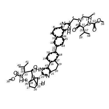 CCCN(Cc1nc2ccc3cc(-c4ccc5c(c4)CCc4nc([C@@H]6[C@H]7CC[C@H](C7)N6C(=O)[C@@H](NC(=O)OC)C(C)C)[nH]c4-5)ccc3c2[nH]1)C(=O)[C@@H](NC(=O)OC)C(C)C